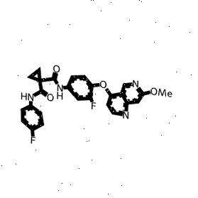 COc1cc2nccc(Oc3ccc(NC(=O)C4(C(=O)Nc5ccc(F)cc5)CC4)cc3F)c2cn1